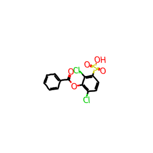 O=C(Oc1c(Cl)ccc(S(=O)(=O)O)c1Cl)c1ccccc1